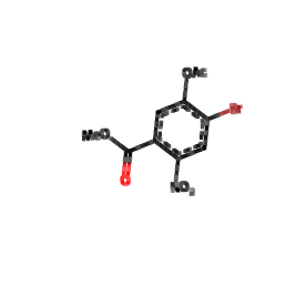 COC(=O)c1cc(OC(C)=O)c(Br)cc1[N+](=O)[O-]